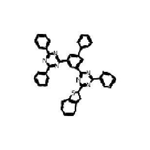 C1=CCC2=C(C=C1)SC(c1nc(-c3ccccc3)nc(-c3cc(-c4ccccc4)cc(-c4nc(-c5ccccc5)nc(-c5ccccc5)n4)c3)n1)C2